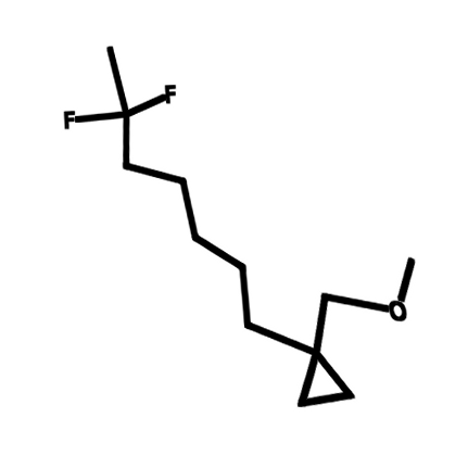 COCC1(CCCCCC(C)(F)F)CC1